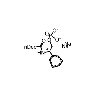 CCCCCCCCCCC(=O)N[C@@H](COP(=O)([O-])[O-])c1ccccc1.[Na+].[Na+]